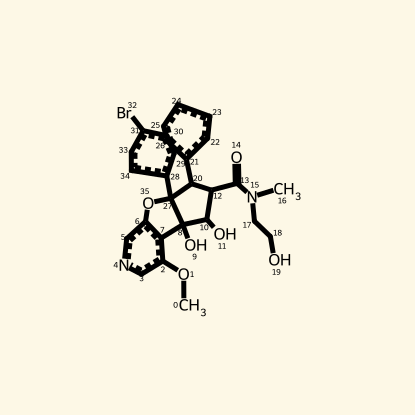 COc1cncc2c1C1(O)C(O)C(C(=O)N(C)CCO)C(c3ccccc3)C1(c1ccc(Br)cc1)O2